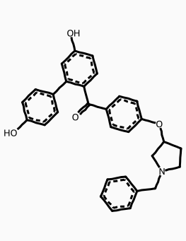 O=C(c1ccc(OC2CCN(Cc3ccccc3)C2)cc1)c1ccc(O)cc1-c1ccc(O)cc1